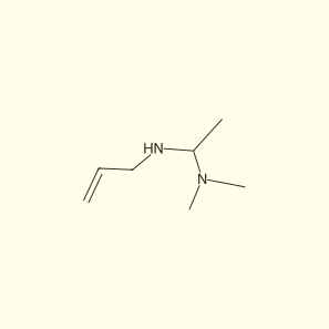 C=CCNC(C)N(C)C